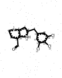 O=Cc1ccnc2cc(Cc3cc(Cl)c(Cl)c(Cl)c3)[nH]c12